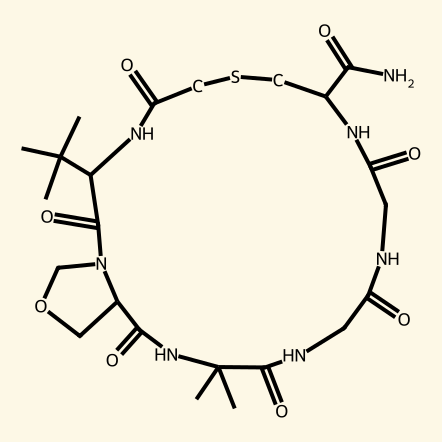 CC1(C)NC(=O)C2COCN2C(=O)C(C(C)(C)C)NC(=O)CSCC(C(N)=O)NC(=O)CNC(=O)CNC1=O